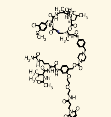 COc1ccc(C[C@H]2NC(=O)/C=C/C[C@@H]([C@H](C)[C@H]3O[C@@H]3c3ccc(CN4CCN(C(=O)OCc5ccc(NC(=O)[C@H](CCCNC(N)=O)NC(=O)C(NC(C)=O)C(C)C)cc5OCCOCCNC(=O)CCN5C(=O)C=CC5=O)CC4)cc3)OC(=O)[C@H](CC(C)C)NC(=O)C(C)(C)CNC2=O)cc1Cl